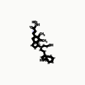 Cc1c(/C=C/C(=O)NO)cc2c(c1C)C(N(CCO)CCc1c[nH]c3ccccc13)CC2